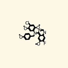 COc1ccc(CN(c2cc(OC)c(Cl)cc2OC)c2ncnc3cc(F)c(OC)cc23)cc1